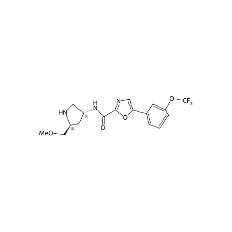 COC[C@@H]1C[C@@H](NC(=O)c2ncc(-c3cccc(OC(F)(F)F)c3)o2)CN1